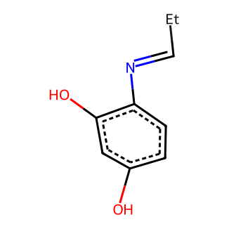 CCC=Nc1ccc(O)cc1O